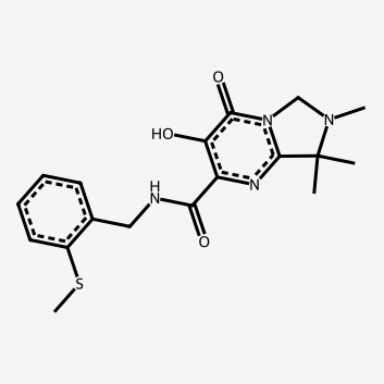 CSc1ccccc1CNC(=O)c1nc2n(c(=O)c1O)CN(C)C2(C)C